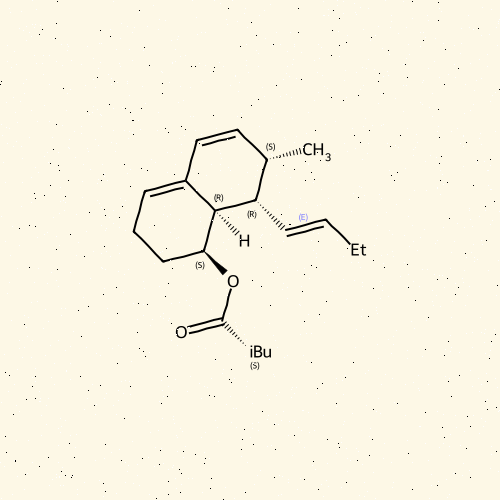 CC/C=C/[C@@H]1[C@@H]2C(=CCC[C@@H]2OC(=O)[C@@H](C)CC)C=C[C@@H]1C